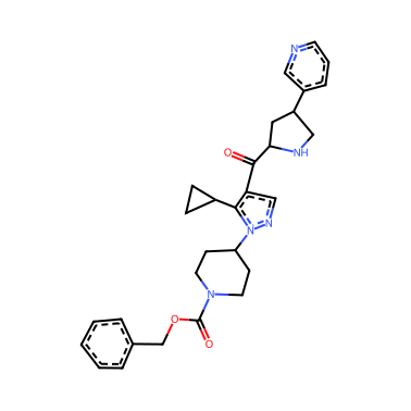 O=C(c1cnn(C2CCN(C(=O)OCc3ccccc3)CC2)c1C1CC1)C1CC(c2cccnc2)CN1